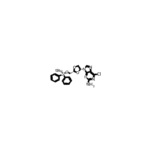 CC(C)(C)[Si](OC[C@@H]1OC[C@H](n2cnc3c(Cl)nc(N)nc32)O1)(c1ccccc1)c1ccccc1